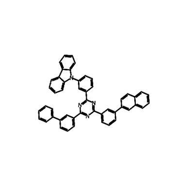 c1ccc(-c2cccc(-c3nc(-c4cccc(-c5ccc6ccccc6c5)c4)nc(-c4cccc(-n5c6ccccc6c6ccccc65)c4)n3)c2)cc1